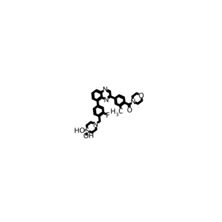 Cc1cc(-c2cnc3cccc(-c4ccc(CN5CCS(O)(O)CC5)c(F)c4)c3n2)ccc1C(=O)N1CCOCC1